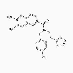 Cc1cc2cc(C(=O)N(CCc3ccon3)Cc3ccc(C(F)(F)F)cn3)ccc2nc1N